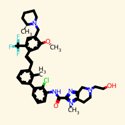 COc1cc(/C=C/c2cccc(-c3cccc(NC(=O)c4nc5c(n4C)CCN(CCO)C5)c3Cl)c2C)c(C(F)(F)F)cc1CN1CCCC[C@H]1C